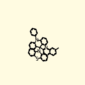 Cc1ccc2ccc(C3(N4c5ccccc5Sc5ccccc54)c4ccccc4N(c4ccccc4)c4ccccc43)nc2c1